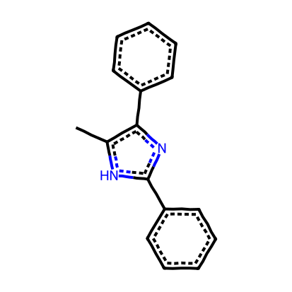 Cc1[nH]c(-c2ccccc2)nc1-c1ccccc1